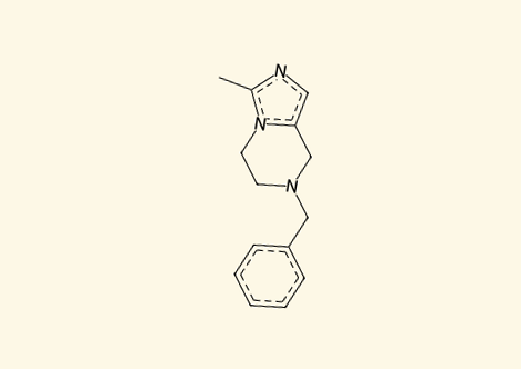 Cc1ncc2n1CCN(Cc1ccccc1)C2